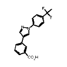 CC(F)(F)c1ccc(-n2cc(-c3cccc(C(=O)O)c3)cn2)cc1